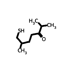 CC(CS)CCC(=O)C(C)C